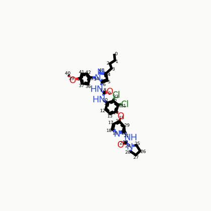 CCCCc1cc(NC(=O)Nc2ccc(Oc3ccnc(NC(=O)N4CCCC4)c3)c(Cl)c2Cl)n(-c2ccc(OC)cc2)n1